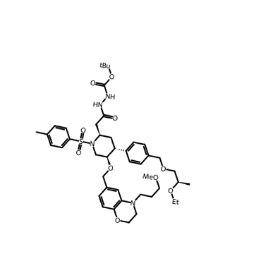 CCO[C@H](C)COCc1ccc([C@H]2C[C@H](CC(=O)NNC(=O)OC(C)(C)C)N(S(=O)(=O)c3ccc(C)cc3)C[C@@H]2OCc2ccc3c(c2)N(CCCOC)CCO3)cc1